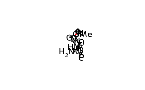 COC1CC(=O)N2CCN(C(=O)[C@@H](COCc3ccccc3)NC(=O)C(C)(C)N)CC12Cc1ccccn1